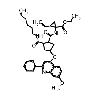 C=CCCCCNC(=O)C1CC(Oc2cc(-c3ccccc3)nc3cc(OC)ccc23)CC1C(=O)NC1(C(=O)OCC)CC1C=C